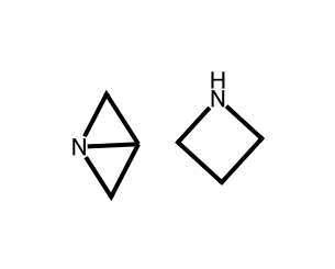 C1C2CN12.C1CNC1